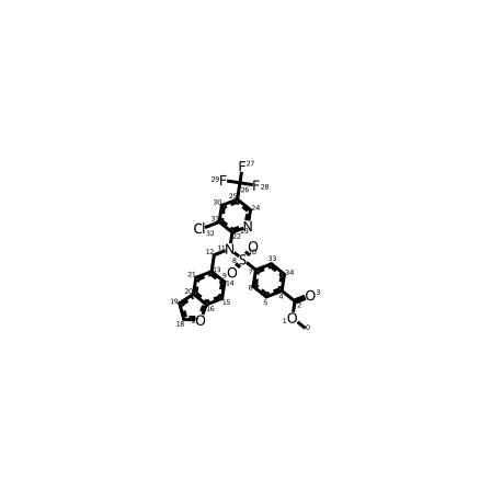 COC(=O)c1ccc(S(=O)(=O)N(Cc2ccc3occc3c2)c2ncc(C(F)(F)F)cc2Cl)cc1